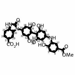 COC(=O)c1ccc(O)c(Nc2cc(O)c(-c3c(O)cc(-n4c(=O)[nH]c5ccc(C(=O)O)cc54)cc3O)c(O)c2)c1